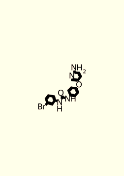 Nc1ccc(Oc2ccc(NC(=O)Nc3cccc(Br)c3)cc2)cn1